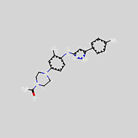 CC(=O)N1CCN(c2ccc(Nc3cc(-c4ccc(C)cc4)[nH]n3)c(C)c2)CC1